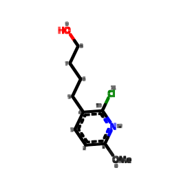 COc1ccc(CCCCO)c(Cl)n1